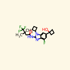 CC(C)(CC(=O)Nc1nc2c(F)cc(C3(O)CCC3)cc2n1C1CCC1)C(F)(F)F